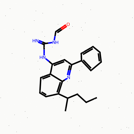 CCCC(C)c1cccc2c(NC(=N)NC=O)cc(-c3ccccc3)nc12